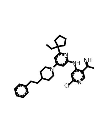 CCC1(c2cc(N3CCC(CCc4ccccc4)CC3)cc(Nc3cc(Cl)ncc3C(C)=N)n2)CCCC1